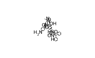 COC(=O)N[C@H](C(=O)NCc1ccc([C@@H](CO)N(Cc2nonc2C)S(=O)(=O)c2ccc(N)cc2)s1)C(c1ccccc1)c1ccccc1